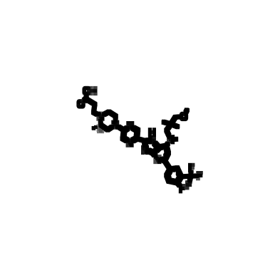 COCC(C)(C)CN(C)c1cc(-c2ccc(F)c(C(F)(F)F)c2)nc2nc(-c3cnc(N4CCN(CCC(=O)O)[C@@H](C)C4)cn3)[nH]c12